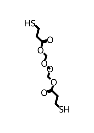 O=C(CCS)OCOOCOC(=O)CCS